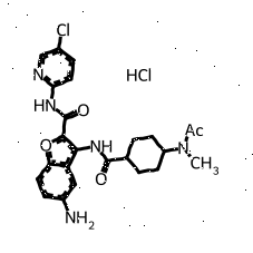 CC(=O)N(C)C1CCC(C(=O)Nc2c(C(=O)Nc3ccc(Cl)cn3)oc3ccc(N)cc23)CC1.Cl